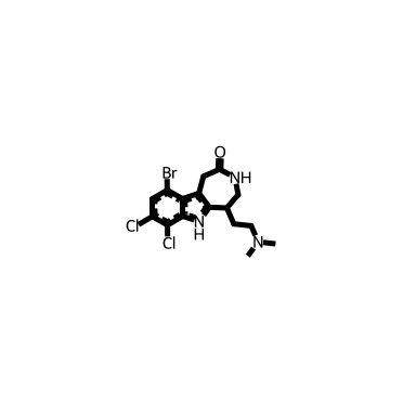 CN(C)CCC1CNC(=O)Cc2c1[nH]c1c(Cl)c(Cl)cc(Br)c21